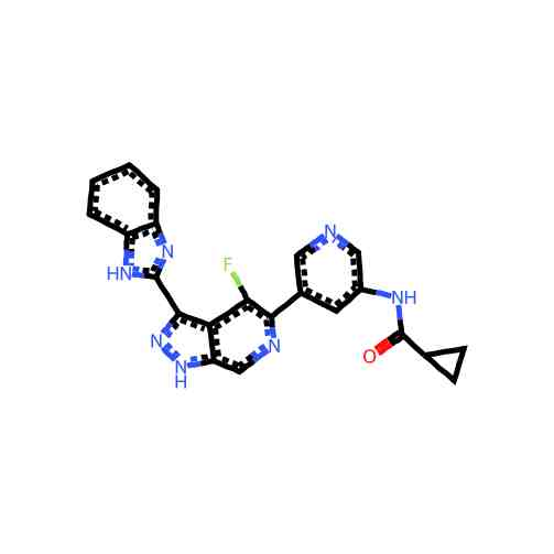 O=C(Nc1cncc(-c2ncc3[nH]nc(-c4nc5ccccc5[nH]4)c3c2F)c1)C1CC1